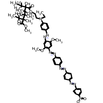 CCN(CCOC(=O)C(C)(C(C)(C)N)C(C)(C)C(C)(C)C(C)(C(=O)OC)C(C)(C)C)c1ccc(/N=N/c2cc(OC)c(/N=N/c3ccc(/N=N/c4ccc(/N=N/c5ccc([N+](=O)[O-])cc5)cc4)cc3)cc2OC)cc1